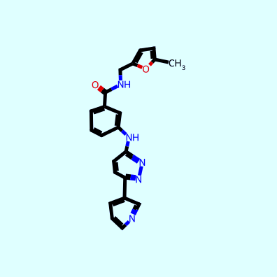 Cc1ccc(CNC(=O)c2cccc(Nc3ccc(-c4cccnc4)nn3)c2)o1